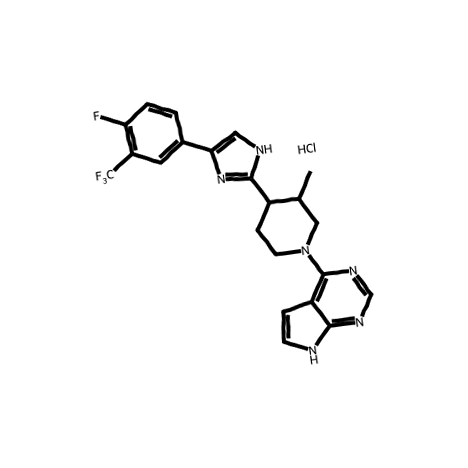 CC1CN(c2ncnc3[nH]ccc23)CCC1c1nc(-c2ccc(F)c(C(F)(F)F)c2)c[nH]1.Cl